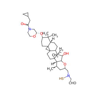 C[C@@H]1CC(CN(S)CC=O)OC2[C@H]1C1(C)CCC34CC35CCC(O[C@H]3CN(C(=O)CC6CC6)CCO3)C(C)(C)[C@@H]5CCC4[C@]1(C)[C@H]2O